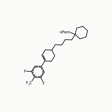 CCCCCC1(CCCCC2CC=C(c3cc(F)c(C(F)(F)F)c(F)c3)CC2)CCCCC1